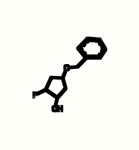 OC1CC(OCc2ccccc2)CC1F